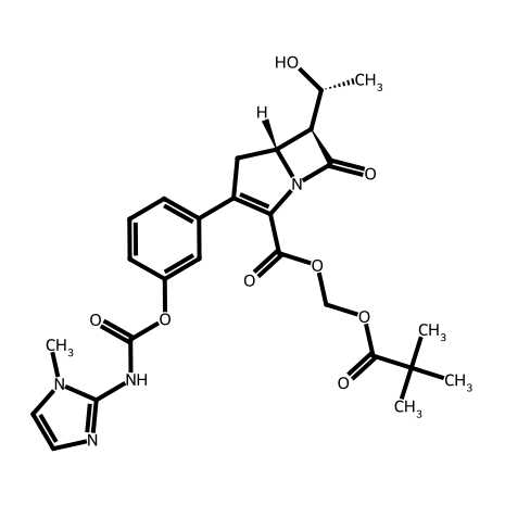 C[C@@H](O)[C@H]1C(=O)N2C(C(=O)OCOC(=O)C(C)(C)C)=C(c3cccc(OC(=O)Nc4nccn4C)c3)C[C@H]12